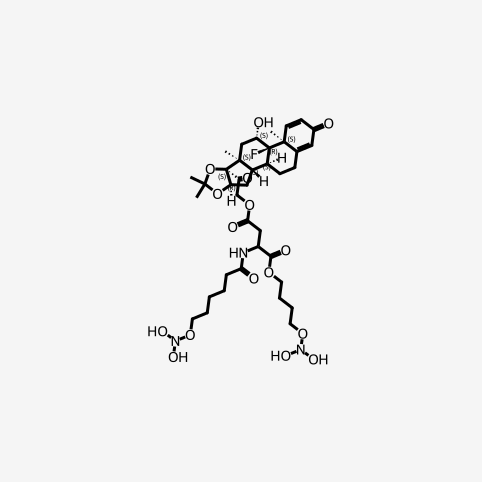 CC1(C)O[C@@H]2C[C@H]3[C@@H]4CCC5=CC(=O)C=C[C@]5(C)[C@@]4(F)[C@@H](O)C[C@]3(C)[C@]2(C(=O)COC(=O)CC(NC(=O)CCCCCON(O)O)C(=O)OCCCCON(O)O)O1